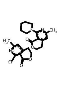 Cc1cc2c(c(Cl)n1)C(=O)OCC2.Cc1cc2c(c(N3CCCCC3)n1)C(=O)OCC2